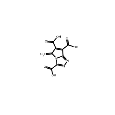 C=c1c(C(=O)O)c(C(=O)O)c2nnc(C(=O)O)n12